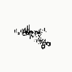 CC(C)N(CCOC(C)(C)COCC(=O)NS(=O)(=O)N(C)C)c1cnc(-c2ccccc2)c(-c2ccccc2)n1